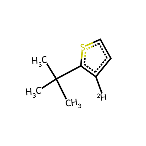 [2H]c1ccsc1C(C)(C)C